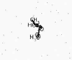 CCCCC[C@@H](O)c1ccc([C@H]2CCC(=O)[C@@H]2CCCCCCC(=O)OC)cc1